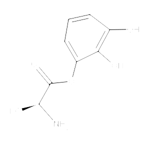 C[C@H](N)C(=O)Oc1cccc(O)c1O